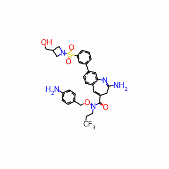 NC1=Nc2cc(-c3cccc(S(=O)(=O)N4CC(CO)C4)c3)ccc2C=C(C(=O)N(CCC(F)(F)F)OCc2ccc(N)cc2)C1